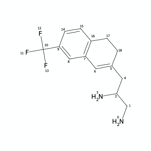 NCC(N)CC1=Cc2cc(C(F)(F)F)ccc2CC1